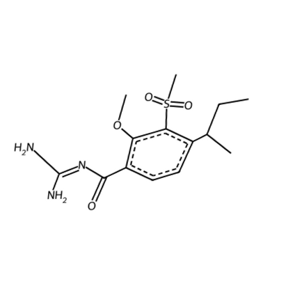 CCC(C)c1ccc(C(=O)N=C(N)N)c(OC)c1S(C)(=O)=O